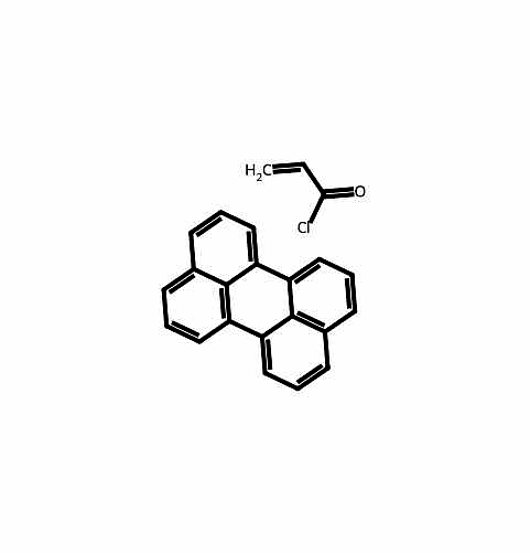 C=CC(=O)Cl.c1cc2cccc3c4cccc5cccc(c(c1)c23)c54